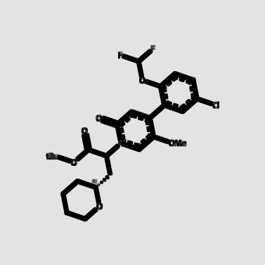 COc1cn(C(C[C@H]2CCCCO2)C(=O)OC(C)(C)C)c(=O)cc1-c1cc(Cl)ccc1OC(F)F